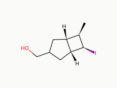 C[C@H]1[C@@H](I)[C@@H]2CC(CO)C[C@H]12